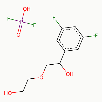 O=P(O)(F)F.OCCOCC(O)c1cc(F)cc(F)c1